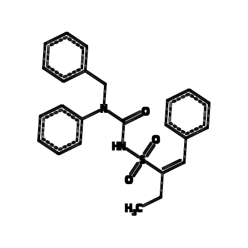 CCC(=Cc1ccccc1)S(=O)(=O)NC(=O)N(Cc1ccccc1)c1ccccc1